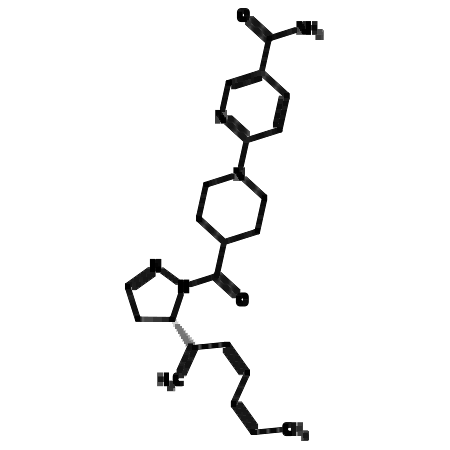 C=C(/C=C\C=C/C)[C@@H]1CC=NN1C(=O)C1CCN(c2ccc(C(N)=O)cn2)CC1